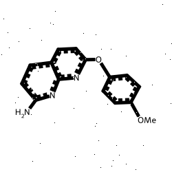 COc1ccc(Oc2ccc3ccc(N)nc3n2)cc1